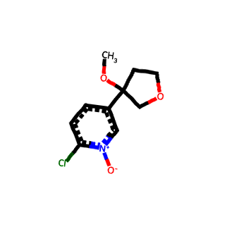 COC1(c2ccc(Cl)[n+]([O-])c2)CCOC1